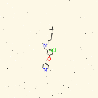 CN(C/C=C/C#CC(C)(C)C)Cc1cccc(OCc2ccncc2)c1.Cl